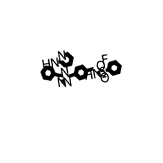 O=S(=O)(NCc1ccc(-c2nnc3n2-c2cccnc2Nc2ccccc2-3)cc1)c1ccccc1F